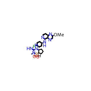 COc1cnc2c(Nc3ccc(F)c([C@]45CCC[C@H]4S(=O)(=O)N(C)C(=N)N5)c3)nccc2n1